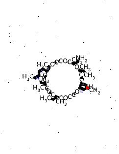 C=C/C=C1/OCCOCC(C)(CC)COCC(C)(CC)COC(/C=C\C=C/C)=C(/C)OCCOCC(C)(CN)OC(C)(CC)CO/C1=C/C